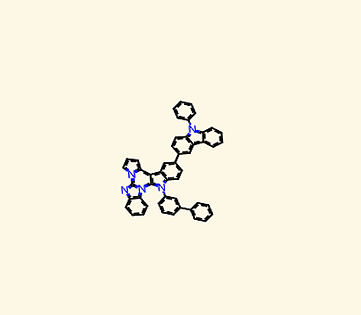 c1ccc(-c2cccc(-n3c4ccc(-c5ccc6c(c5)c5ccccc5n6-c5ccccc5)cc4c4c5cccn5c5nc6ccccc6n5c43)c2)cc1